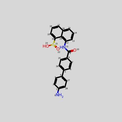 Nc1ccc(-c2ccc(C(=O)Nc3cccc4cccc(S(=O)O)c34)cc2)cc1